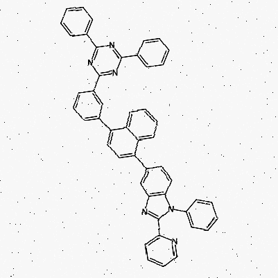 c1ccc(-c2nc(-c3ccccc3)nc(-c3cccc(-c4ccc(-c5ccc6c(c5)nc(-c5ccccn5)n6-c5ccccc5)c5ccccc45)c3)n2)cc1